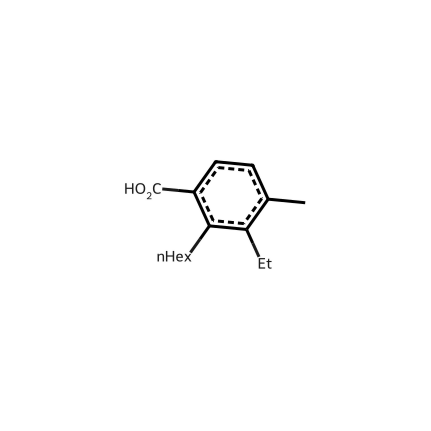 CCCCCCc1c(C(=O)O)ccc(C)c1CC